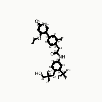 CCOc1cc(=O)[nH]cc1-c1ccc(CC(=O)Nc2ccc(CC(C)(C)CO)c(C(F)(F)F)c2)c(F)c1